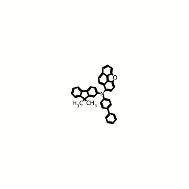 CC1(C)c2ccccc2-c2ccc(N(c3ccc(-c4ccccc4)cc3)c3ccc4oc5cccc6ccc3c4c65)cc21